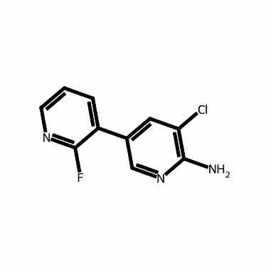 Nc1ncc(-c2cccnc2F)cc1Cl